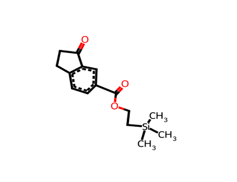 C[Si](C)(C)CCOC(=O)c1ccc2c(c1)C(=O)CC2